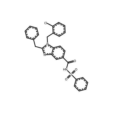 O=C(NS(=O)(=O)c1ccccc1)c1ccc2c(c1)nc(Cc1ccccc1)n2Cc1ccccc1Cl